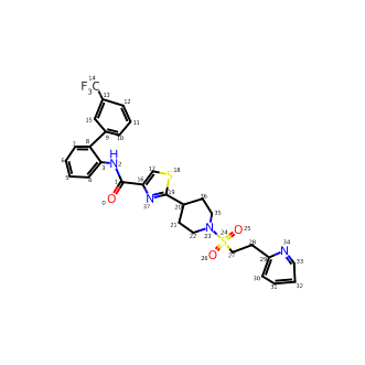 O=C(Nc1ccccc1-c1cccc(C(F)(F)F)c1)c1csc(C2CCN(S(=O)(=O)CCc3ccccn3)CC2)n1